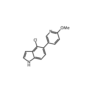 COc1ccc(-c2ccc3[nH]ccc3c2Cl)cn1